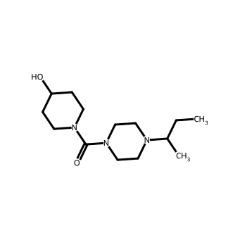 CCC(C)N1CCN(C(=O)N2CCC(O)CC2)CC1